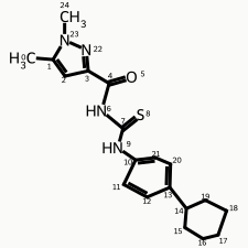 Cc1cc(C(=O)NC(=S)Nc2ccc(C3CCCCC3)cc2)nn1C